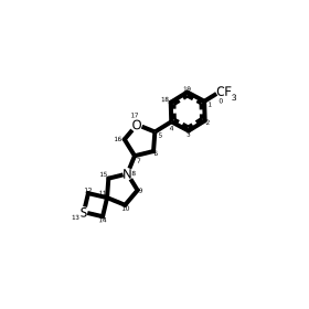 FC(F)(F)c1ccc(C2CC(N3CCC4(CSC4)C3)CO2)cc1